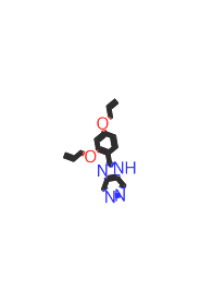 C=CCOc1ccc(-c2nc3cnncc3[nH]2)c(OCC=C)c1